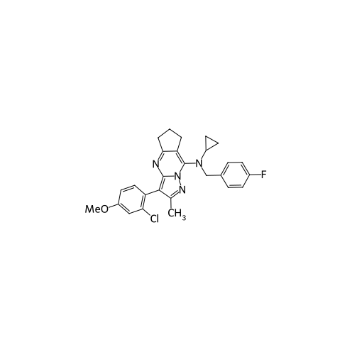 COc1ccc(-c2c(C)nn3c(N(Cc4ccc(F)cc4)C4CC4)c4c(nc23)CCC4)c(Cl)c1